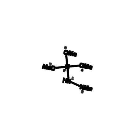 CNN[Si](OC)(OC)OC